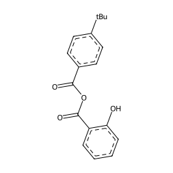 CC(C)(C)c1ccc(C(=O)OC(=O)c2ccccc2O)cc1